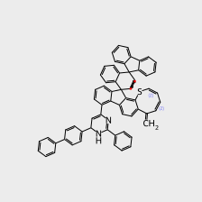 C=C1/C=C\C=C/Sc2c1ccc1c2C2(c3ccccc3C3(c4ccccc4-c4ccccc43)c3ccccc32)c2cccc(C3=CC(c4ccc(-c5ccccc5)cc4)NC(c4ccccc4)=N3)c2-1